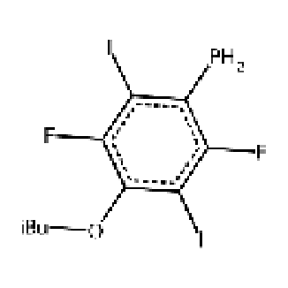 CCC(C)Oc1c(F)c(I)c(P)c(F)c1I